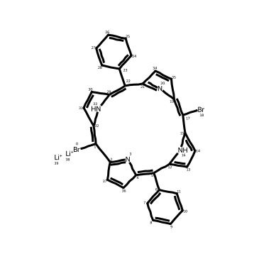 Brc1c2nc(c(-c3ccccc3)c3ccc([nH]3)c(Br)c3nc(c(-c4ccccc4)c4ccc1[nH]4)C=C3)C=C2.[Li+].[Li+]